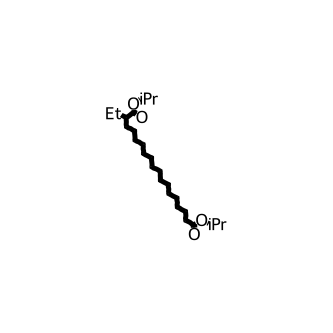 CCC(CCCCCCCCCCCCCCCC(=O)OC(C)C)C(=O)OC(C)C